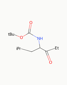 CCC(=O)C(CC(C)C)NC(=O)OC(C)(C)C